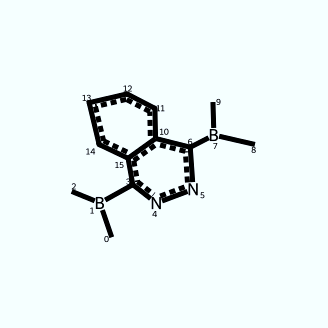 CB(C)c1nnc(B(C)C)c2ccccc12